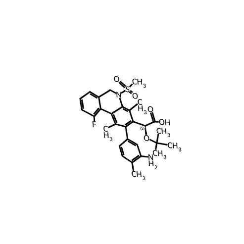 Cc1ccc(-c2c(C)c3c(c(C)c2[C@H](OC(C)(C)C)C(=O)O)N(S(C)(=O)=O)Cc2cccc(F)c2-3)cc1N